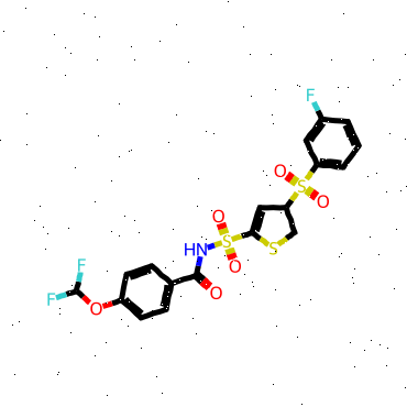 O=C(NS(=O)(=O)C1=CC(S(=O)(=O)c2cccc(F)c2)CS1)c1ccc(OC(F)F)cc1